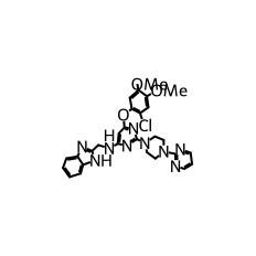 COc1cc(Cl)c(Oc2cc(NCc3nc4ccccc4[nH]3)nc(N3CCN(c4ncccn4)CC3)n2)cc1OC